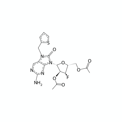 CC(=O)OC[C@H]1O[C@@H](n2c(=O)n(Cc3cccs3)c3cnc(N)nc32)[C@H](OC(C)=O)[C@@H]1F